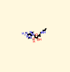 CCCNC[C@H]1C[C@]12O[C@@H](n1cnc3c(N)ncnc31)C(O)C2O